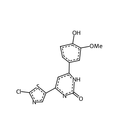 COc1cc(-c2cc(-c3cnc(Cl)s3)nc(=O)[nH]2)ccc1O